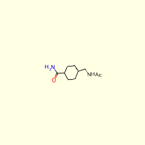 CC(=O)NCC1CCC(C(N)=O)CC1